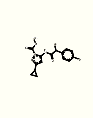 CC(C)C(C(=O)Nc1cc(C2CC2)nn1C(=O)OC(C)(C)C)c1ccc(Br)cc1